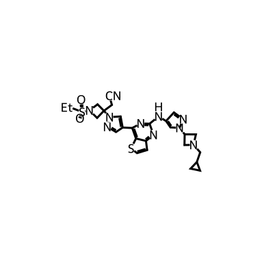 CCS(=O)(=O)N1CC(CC#N)(n2cc(-c3nc(Nc4cnn(C5CN(CC6CC6)C5)c4)nc4ccsc34)cn2)C1